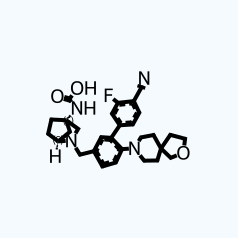 N#Cc1ccc(-c2cc(CN3C[C@]4(NC(=O)O)CC[C@H]3C4)ccc2N2CCC3(CCOC3)CC2)cc1F